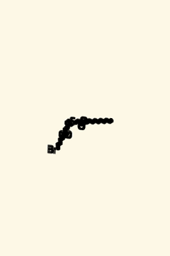 CCCCCCCCCCOC(=O)CCSC(C)(C)SCCC(=O)OCCCCCBr